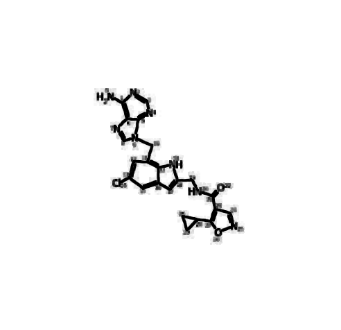 Nc1ncnc2c1ncn2Cc1cc(Cl)cc2cc(CNC(=O)c3cnoc3C3CC3)[nH]c12